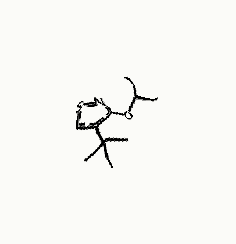 CC(C)Oc1nscc1C(C)(C)C